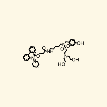 O=C(CCOC(=O)N(c1ccccc1-c1ccccc1)N1CC[CH]CC1)NCCCCCN(Cc1ccc(O)cc1)S(=O)(=O)CCN(CCO)CCO